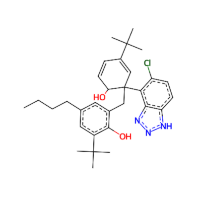 CCCCc1cc(CC2(c3c(Cl)ccc4[nH]nnc34)C=C(C(C)(C)C)C=CC2O)c(O)c(C(C)(C)C)c1